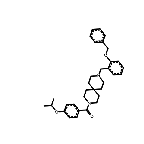 CC(C)Oc1ccc(C(=O)N2CCC3(CCN(Cc4ccccc4OCc4ccccc4)CC3)CC2)cc1